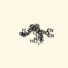 N#Cc1cc(C#N)cc(COc2nc(OCc3cccc(-c4cccc(-c5ccc(CNC[C@@H]6CCC(=O)N6)cc5)c4Cl)c3Cl)c(Cl)cc2CNC[C@@H](O)CC(=O)O)c1